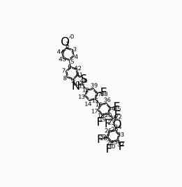 COc1ccc(-c2ccc3nc(-c4ccc(-c5cc(F)c(C(F)(F)Oc6cc(F)c(F)c(F)c6)c(F)c5)c(F)c4)sc3c2)cc1